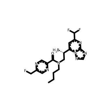 B[C@@H](CN(CCCC)C(=O)c1cnc(CF)cn1)c1cc(C(F)F)nc2ncnn12